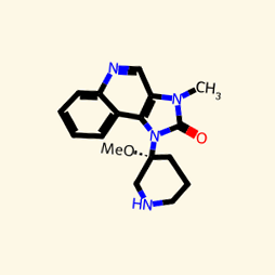 CO[C@]1(n2c(=O)n(C)c3cnc4ccccc4c32)CCCNC1